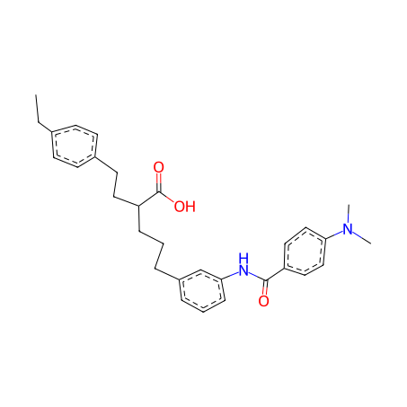 CCc1ccc(CCC(CCCc2cccc(NC(=O)c3ccc(N(C)C)cc3)c2)C(=O)O)cc1